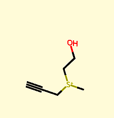 C#CC[S+](C)CCO